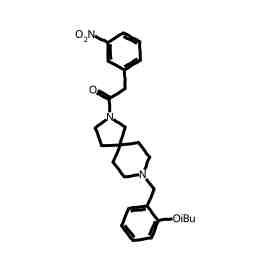 CC(C)COc1ccccc1CN1CCC2(CC1)CCN(C(=O)Cc1cccc([N+](=O)[O-])c1)C2